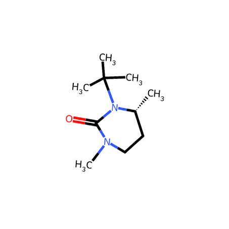 C[C@@H]1CCN(C)C(=O)N1C(C)(C)C